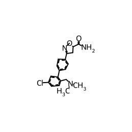 CN(C)Cc1ccc(Cl)cc1-c1ccc(C2=NOC(C(N)=O)C2)cc1